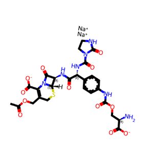 CC(=O)OCC1=C(C(=O)[O-])N2C(=O)[C@@H](NC(=O)[C@H](NC(=O)N3CCNC3=O)c3ccc(NC(=O)OC[C@@H](N)C(=O)[O-])cc3)[C@@H]2SC1.[Na+].[Na+]